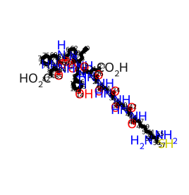 C#CCCC(NC(=O)C(Cc1ccc(O)cc1)NC(=O)C(CCC(=O)O)NC(=O)CNC(=O)CNC(=O)CNC(=O)CNC(=O)CNC(=O)CCCCCC(N)C(N)CS)C(=O)N1CCCC1C(=O)NC(Cc1ccccc1)C(=O)NC(CCC(=O)O)C(N)=O